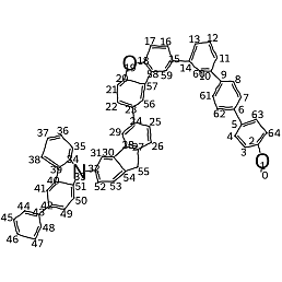 COc1ccc(-c2ccc(-c3cccc(-c4ccc5oc6ccc(-c7ccc8c(c7)-c7cc(-n9c%10ccccc%10c%10cc(-c%11ccccc%11)ccc%109)ccc7C8)cc6c5c4)c3)cc2)cc1